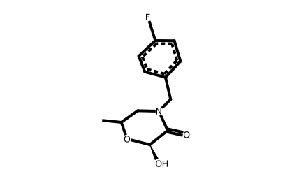 CC1CN(Cc2ccc(F)cc2)C(=O)[C@@H](O)O1